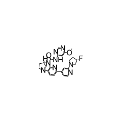 COc1cc(NC(=O)N2c3nc(-c4ccnc(N5CC[C@H](F)C5)c4)ccc3N3CC[C@H]2C3)ncn1